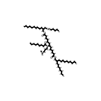 CCCCCCCCCCC(CCCCCCCC)COC(=O)CCCCCC(CCCCCC(=O)OCC(CCCCCCCC)CCCCCCCCCC)N(CCCN(C)C)C(O)CCCCCCCC